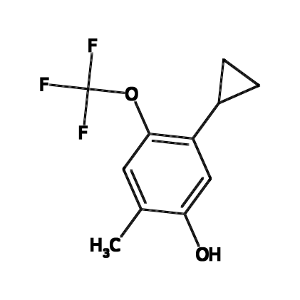 Cc1cc(OC(F)(F)F)c(C2CC2)cc1O